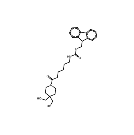 O=C(NCCCCCC(=O)N1CCC(CO)(CO)CC1)OCC1c2ccccc2-c2ccccc21